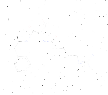 C[C@@H](O)[C@H](NC(=O)[C@@H](N)CCCN=C(N)N)C(=O)N[C@@H](Cc1ccccc1)C(=O)O